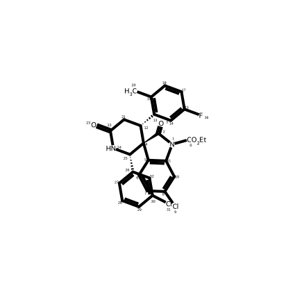 CCOC(=O)N1C(=O)[C@]2(c3ccc(Cl)cc31)[C@@H](c1cc(F)ccc1C)CC(=O)N[C@H]2c1cccc(Cl)c1